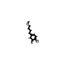 COCCCCC1=CC=C(Cl)C(C)C1